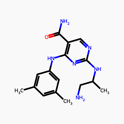 Cc1cc(C)cc(Nc2nc(NC(C)CN)ncc2C(N)=O)c1